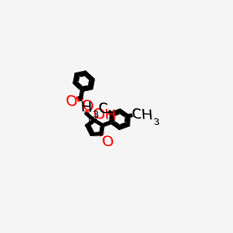 Cc1ccc(C2C(=O)C=C[C@@]2(O)COC(=O)c2ccccc2)c(C)c1